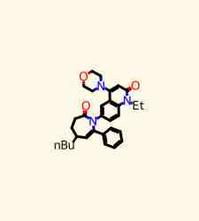 CCCCC1C=C(c2ccccc2)N(c2ccc3c(c2)c(N2CCOCC2)cc(=O)n3CC)C(=O)CC1